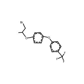 CC(CBr)Oc1ccc(Oc2ccc(C(F)(F)F)cc2)cc1